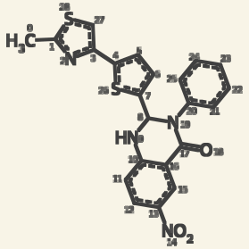 Cc1nc(-c2ccc(C3Nc4ccc([N+](=O)[O-])cc4C(=O)N3c3ccccc3)s2)cs1